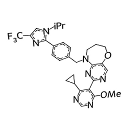 COc1ncnc(C2CC2)c1-c1ncc2c(n1)N(Cc1ccc(-c3nc(C(F)(F)F)cn3C(C)C)cc1)CCCO2